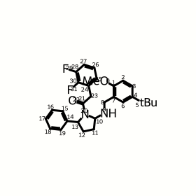 COc1ccc(C(C)(C)C)cc1CNC1CCC(c2ccccc2)N1C(=O)Cc1cccc(F)c1F